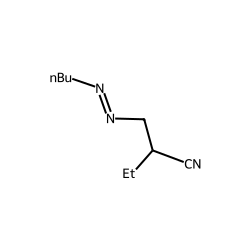 CCCCN=NCC(C#N)CC